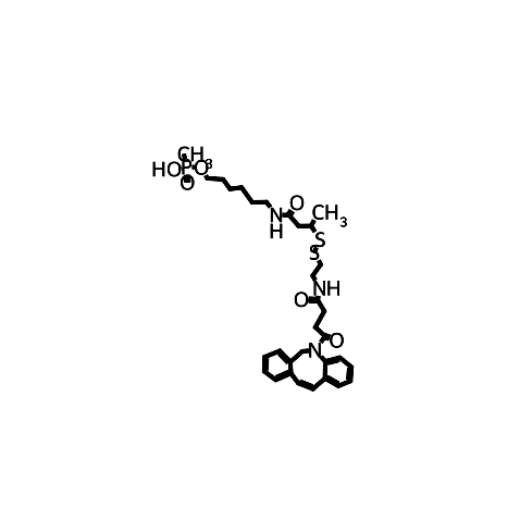 CC(CC(=O)NCCCCCCOP(C)(=O)O)SSCCNC(=O)CCC(=O)N1Cc2ccccc2/C=C\c2ccccc21